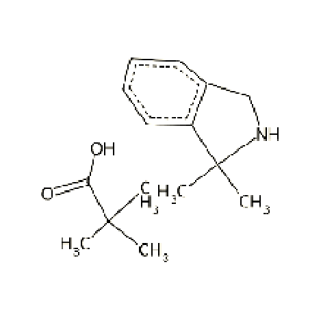 CC(C)(C)C(=O)O.CC1(C)NCc2ccccc21